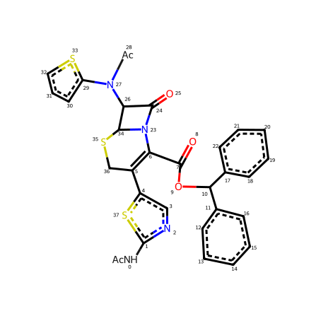 CC(=O)Nc1ncc(C2=C(C(=O)OC(c3ccccc3)c3ccccc3)N3C(=O)C(N(C(C)=O)c4cccs4)C3SC2)s1